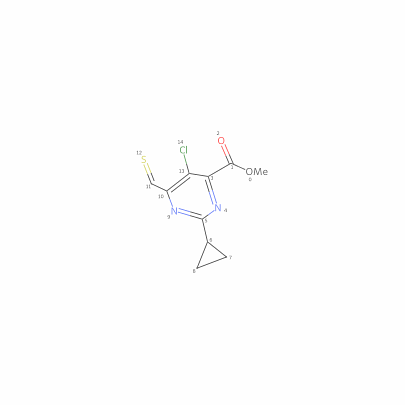 COC(=O)c1nc(C2CC2)nc(C=S)c1Cl